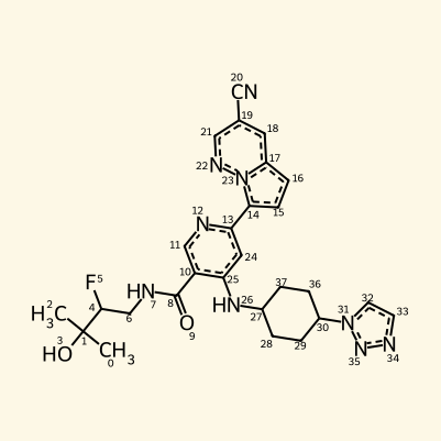 CC(C)(O)C(F)CNC(=O)c1cnc(-c2ccc3cc(C#N)cnn23)cc1NC1CCC(n2ccnn2)CC1